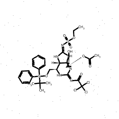 CCOS(=O)(=O)/N=C1/N[C@H]2[C@H](CO[Si](c3ccccc3)(c3ccccc3)C(C)(C)C)N/C(=N/C(=O)C(Cl)(Cl)Cl)N3C[C@H](OC(C)=O)[C@H](O)C23N1